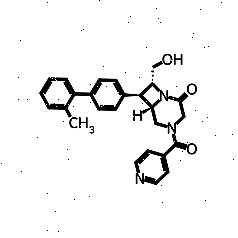 Cc1ccccc1-c1ccc([C@@H]2[C@H]3CN(C(=O)c4ccncc4)CC(=O)N3[C@H]2CO)cc1